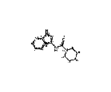 O=C(Nc1c[nH]c2ncccc12)N1CCCCC1